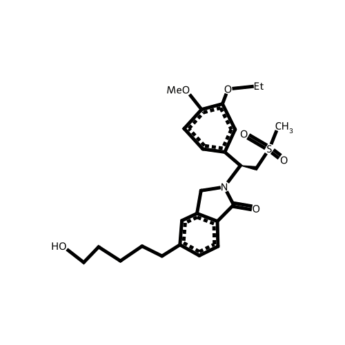 CCOc1cc([C@@H](CS(C)(=O)=O)N2Cc3cc(CCCCCO)ccc3C2=O)ccc1OC